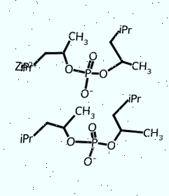 CC(C)CC(C)OP(=O)([O-])OC(C)CC(C)C.CC(C)CC(C)OP(=O)([O-])OC(C)CC(C)C.[Zn+2]